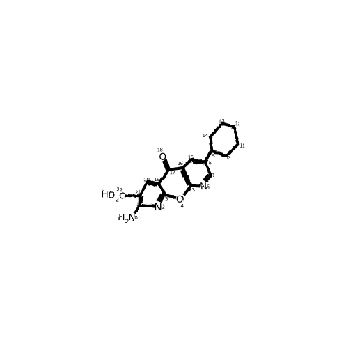 Nc1nc2oc3ncc(C4CCCCC4)cc3c(=O)c2cc1C(=O)O